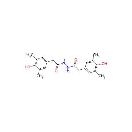 Cc1cc(CC(=O)NNC(=O)Cc2cc(C)c(O)c(C)c2)cc(C)c1O